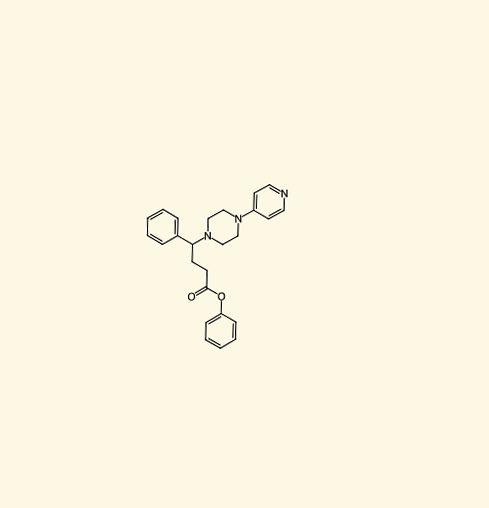 O=C(CCC(c1ccccc1)N1CCN(c2ccncc2)CC1)Oc1ccccc1